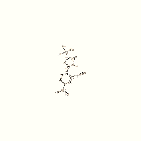 N#Cc1cc([N+](=O)[O-])ccc1-n1cc(C(F)(F)F)nn1